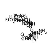 CCOC(=O)/C(C)=C/[C@H](C(C)C)N(C)C(=O)[C@@H](NC(=O)C(NC)C(C)(C)c1cccc(NC(=O)OCc2ccc(NC(=O)[C@H](CCCNC(N)=O)NC(=O)[C@@H](NC(=O)OCC3c4ccccc4-c4ccccc43)C(C)C)cc2)c1)C(C)(C)C